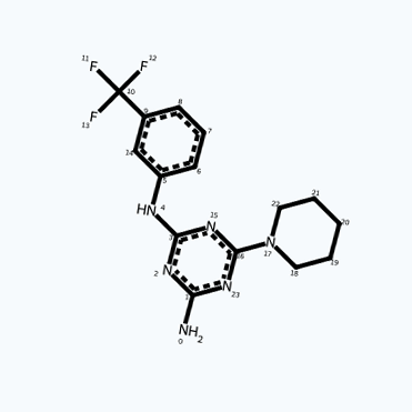 Nc1nc(Nc2cccc(C(F)(F)F)c2)nc(N2CCCCC2)n1